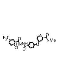 CNC(=O)c1cc(Oc2ccc(C(=O)NNC(=O)c3cc(C(F)(F)F)ccc3Cl)cc2)ccn1